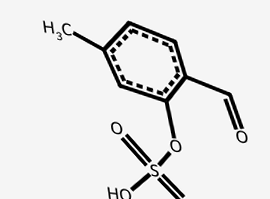 Cc1ccc(C=O)c(OS(=O)(=O)O)c1